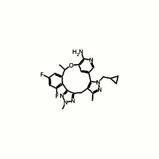 Cc1nn(CC2CC2)c2c1Cc1nn(C)nc1-c1c(F)cc(F)cc1C(C)Oc1cc-2cnc1N